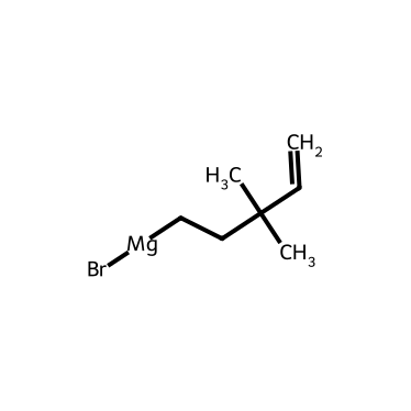 C=CC(C)(C)C[CH2][Mg][Br]